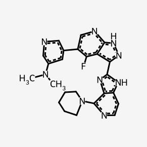 CN(C)c1cncc(-c2cnc3[nH]nc(-c4nc5c(N6CCCCC6)nccc5[nH]4)c3c2F)c1